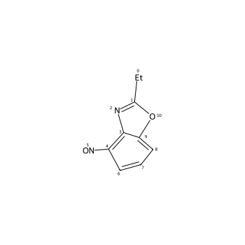 CCc1nc2c(N=O)cccc2o1